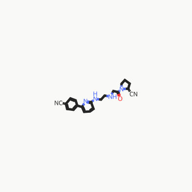 N#Cc1ccc(-c2cccc(NCCNCC(=O)N3CCCC3C#N)n2)cc1